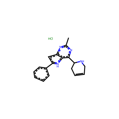 Cc1nc(C2CC=CCN2)c2[nH]c(-c3ccccc3)cc2n1.Cl